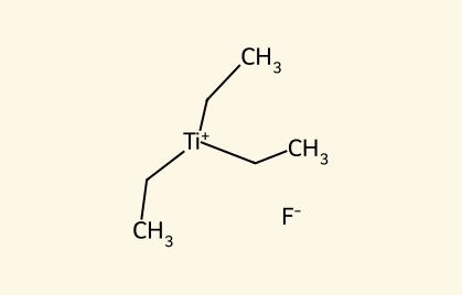 C[CH2][Ti+]([CH2]C)[CH2]C.[F-]